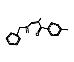 CC(=CNCc1ccccc1)C(=O)c1ccc(C)cc1